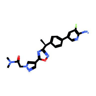 C[C@@H](c1ccc(-c2cnc(N)c(F)c2)cc1)c1noc(-c2cnn(CC(=O)N(C)C)c2)n1